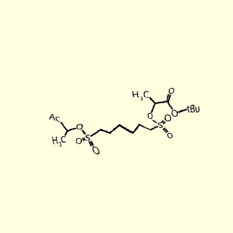 CC(=O)C(C)OS(=O)(=O)CCCCCCS(=O)(=O)OC(C)C(=O)OC(C)(C)C